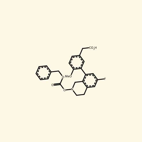 COc1ccc(CC(=O)O)cc1-c1cc(F)cc2c1CN(OC(=O)OCc1ccccc1)CC2